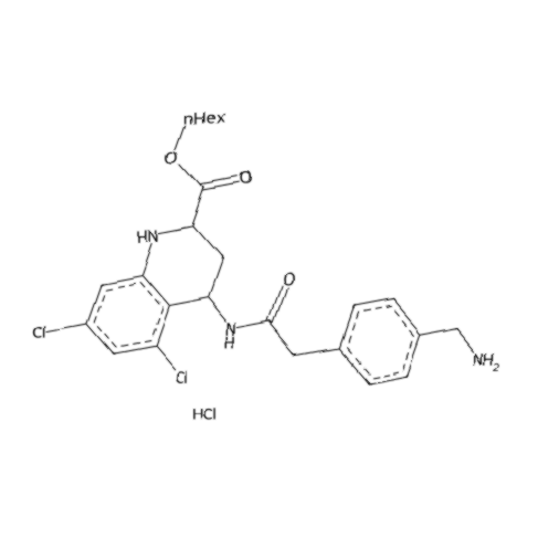 CCCCCCOC(=O)C1CC(NC(=O)Cc2ccc(CN)cc2)c2c(Cl)cc(Cl)cc2N1.Cl